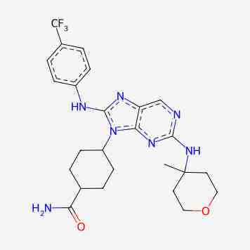 CC1(Nc2ncc3nc(Nc4ccc(C(F)(F)F)cc4)n(C4CCC(C(N)=O)CC4)c3n2)CCOCC1